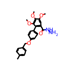 COc1cc(C(=O)NN)c(-c2ccc(OCc3ccc(C)cc3)cc2)c(OC)c1OC